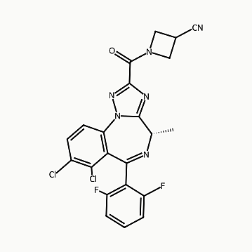 C[C@@H]1N=C(c2c(F)cccc2F)c2c(ccc(Cl)c2Cl)-n2nc(C(=O)N3CC(C#N)C3)nc21